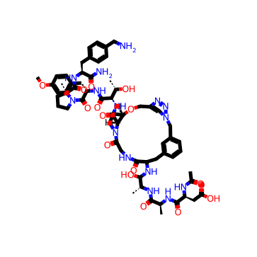 COc1ccc(C[C@H](NC(=O)[C@@H](NC(=O)[C@@H]2[C@@H]3CCN2C(=O)CNC(=O)C(NC(O)[C@@H](C)NC(=O)[C@H](C)NC(=O)[C@H](CC(=O)O)NC(C)=O)Cc2cccc(c2)Cn2cc(nn2)CO3)[C@H](C)O)C(=O)N2CCC[C@@]2(C)C(=O)N[C@@H](Cc2ccc(CN)cc2)C(N)=O)cc1